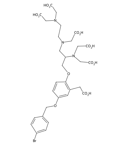 O=C(O)Cc1cc(OCc2ccc(Br)cc2)ccc1OCC(CN(CCN(CC(=O)O)CC(=O)O)CC(=O)O)N(CC(=O)O)CC(=O)O